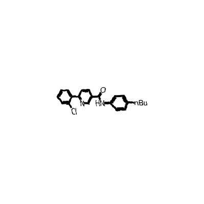 CCCCc1ccc(NC(=O)c2ccc(-c3ccccc3Cl)nc2)cc1